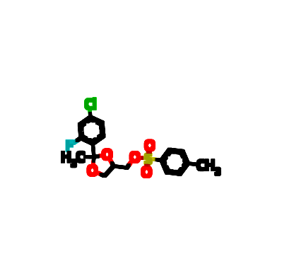 Cc1ccc(S(=O)(=O)OCC2COC(C)(c3ccc(Cl)cc3F)O2)cc1